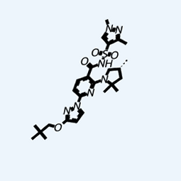 Cc1nn(C)cc1S(=O)(=O)NC(=O)c1ccc(-n2ccc(OCC(C)(C)C)n2)nc1N1C[C@H](C)CC1(C)C